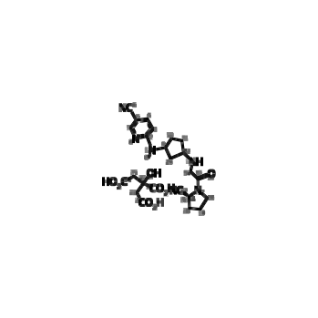 CN(c1ccc(C#N)cn1)C1CCC(NCC(=O)N2CCC[C@H]2C#N)C1.O=C(O)CC(O)(CC(=O)O)C(=O)O